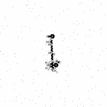 COC(=O)C1=C(C)NC(C)=C(C(=O)OCCCCC(=O)NCCCCCNCC(O)COc2ccccc2C#N)C1c1cccc([N+](=O)[O-])c1